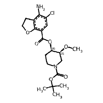 CO[C@H]1CN(C(=O)OC(C)(C)C)CC[C@H]1OC(=O)c1cc(Cl)c(N)c2c1OCC2